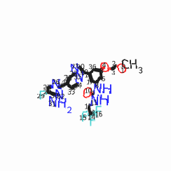 COCCOc1cc(NC(=O)NCC(F)(F)F)cc(-c2cnc3cc(-c4ncc(F)c(N)n4)ccn23)c1